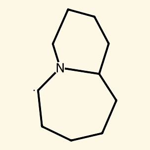 [CH]1CCCCC2CCCCN12